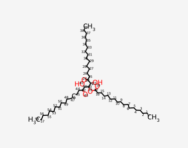 CCCCCCCCCCCCCCCCCC(=O)OC(C(O)C(=O)CCCCCCCCCCCCCCC)C(O)C(=O)CCCCCCCCCCCCCCC